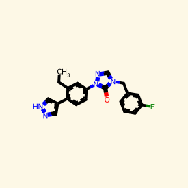 CCc1cc(-n2ncn(Cc3cccc(F)c3)c2=O)ccc1-c1cn[nH]c1